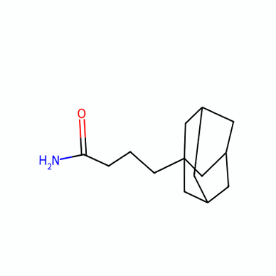 NC(=O)CCCC12CC3CC(CC(C3)C1)C2